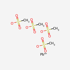 CS(=O)(=O)[O-].CS(=O)(=O)[O-].CS(=O)(=O)[O-].CS(=O)(=O)[O-].[Pb+4]